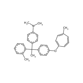 CC1=CC=C(Oc2ccc(C(C)(c3ccc(N(C)C)cc3)c3ccccc3C)cc2)C=C=C1